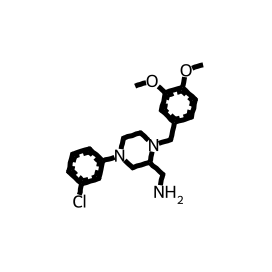 COc1ccc(CN2CCN(c3cccc(Cl)c3)CC2CN)cc1OC